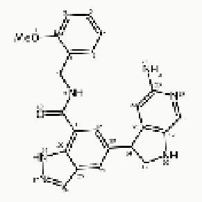 COc1ccccc1CNC(=O)c1cc(C2CNc3cnc(N)cc32)cc2cn[nH]c12